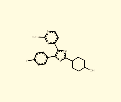 CSc1nccc(-c2[nH]c(C3CCC(O)CC3)nc2-c2ccc(F)cc2)n1